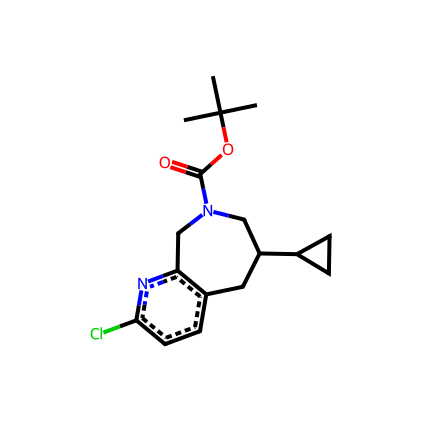 CC(C)(C)OC(=O)N1Cc2nc(Cl)ccc2CC(C2CC2)C1